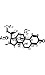 CC(=O)OCC(=O)[C@]1(OC(C)=O)[C@H](C)C[C@H]2[C@@H]3CCC4=CC(=O)C=C[C@]4(C)[C@@]3(Cl)[C@@H](O)C[C@@]21C